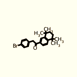 CC1(C)CCC(C)(C)c2cc(C(=O)Cc3ccc(Br)cc3)ccc21